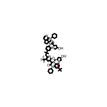 CC(C)(C)c1ccc(N(C(=O)[C@H]2C[C@@H](O)CN2C#N)C(C(=O)NC2CCCCC2)c2cnc(CC(C)(C)c3ccc(N(C(=O)C4CC(O)CN4)C4(C(=O)NC5CCCCC5)CCc5ccncc54)cc3)c(C(F)(F)F)c2)cc1